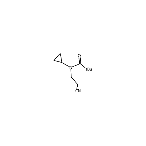 CC(C)(C)C(=O)N(CCC#N)C1CC1